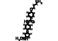 CCCCOc1ccc(C(=O)Nc2ccc(N3CCC(NC)C3)cc2)cc1